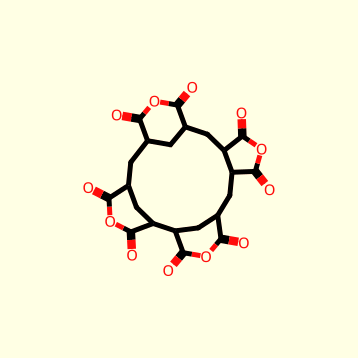 O=C1OC(=O)C2CC1CC1CC(C(=O)OC1=O)C1CC(CC3C(=O)OC(=O)C3C2)C(=O)OC1=O